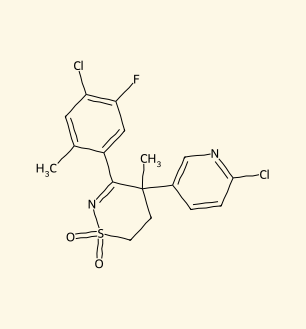 Cc1cc(Cl)c(F)cc1C1=NS(=O)(=O)CCC1(C)c1ccc(Cl)nc1